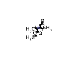 CCOC(=O)/C(CC)=C(\CC)CP=O